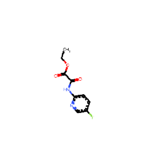 CCOC(=O)C(=O)Nc1ccc(F)cn1